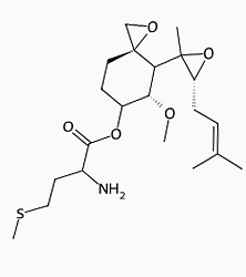 CO[C@@H]1C(OC(=O)C(N)CCSC)CC[C@]2(CO2)C1C1(C)O[C@@H]1CC=C(C)C